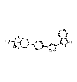 CC(C)(C)N1CCC(c2ccc(-n3cc(-c4n[nH]c5ccccc45)nn3)cc2)CC1